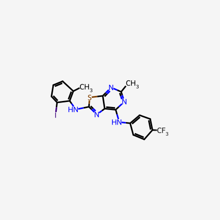 Cc1nc(Nc2ccc(C(F)(F)F)cc2)c2nc(Nc3c(C)cccc3I)sc2n1